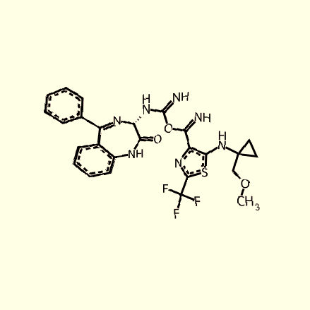 COCC1(Nc2sc(C(F)(F)F)nc2C(=N)OC(=N)N[C@H]2N=C(c3ccccc3)c3ccccc3NC2=O)CC1